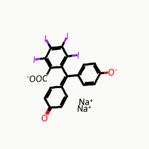 O=C1C=CC(=C(c2ccc([O-])cc2)c2c(I)c(I)c(I)c(I)c2C(=O)[O-])C=C1.[Na+].[Na+]